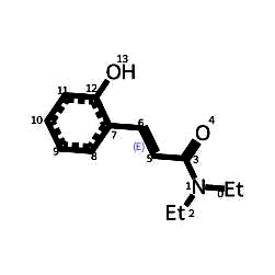 CCN(CC)C(=O)/C=C/c1ccccc1O